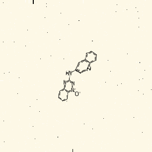 [O-][n+]1nc(Nc2cnc3ccccc3c2)nc2ccccc21